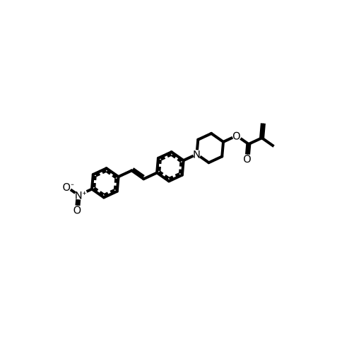 C=C(C)C(=O)OC1CCN(c2ccc(C=Cc3ccc([N+](=O)[O-])cc3)cc2)CC1